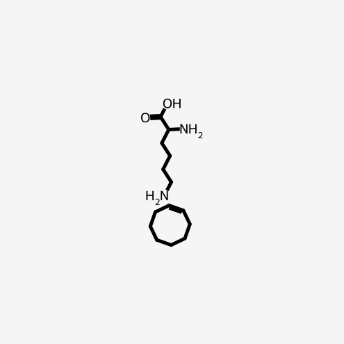 C1=CCCCCCC1.NCCCCC(N)C(=O)O